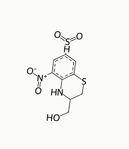 O=[N+]([O-])c1cc([SH](=O)=O)cc2c1NC(CO)CS2